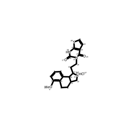 COc1cccc2c1CCC1CNC(CCn3c(=O)[nH]c4sccc4c3=O)C21.Cl